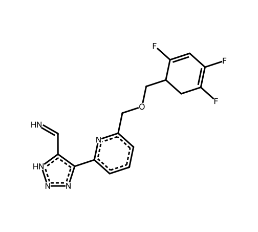 N=Cc1[nH]nnc1-c1cccc(COCC2CC(F)=C(F)C=C2F)n1